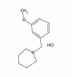 COc1cccc(CN2CCCCC2)c1.Cl